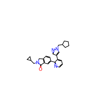 O=C1c2cc(-c3ncccc3-c3cnn(CC4CCCC4)c3)ccc2CN1CC1CC1